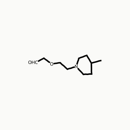 CC1CCN(CCOCC=O)CC1